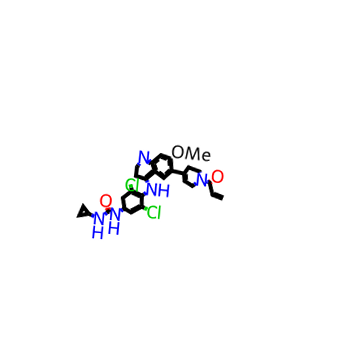 C=CC(=O)N1CC=C(c2cc3c(cc2OC)=NCCC=3NC2=C(Cl)CC(NC(=O)NC3CC3)C=C2Cl)CC1